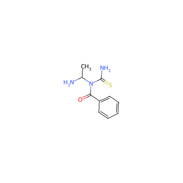 CC(N)N(C(=O)c1ccccc1)C(N)=S